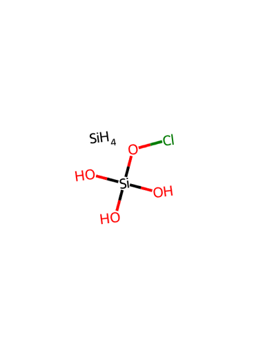 O[Si](O)(O)OCl.[SiH4]